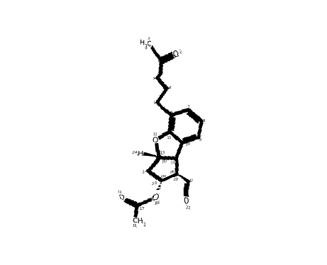 CC(=O)CCCc1cccc2c1O[C@H]1C[C@@H](OC(C)=O)[C@H](C=O)C21